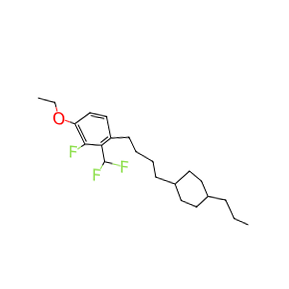 CCCC1CCC(CCCCc2ccc(OCC)c(F)c2C(F)F)CC1